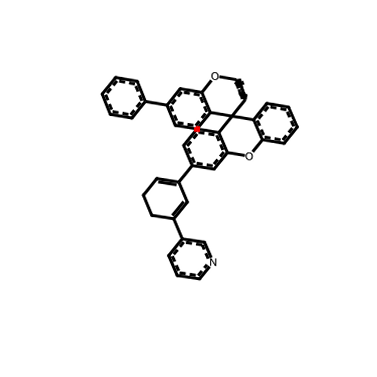 C1=C(c2ccc3c(c2)Oc2ccccc2C32c3ccccc3Oc3cc(-c4ccccc4)ccc32)C=C(c2cccnc2)CC1